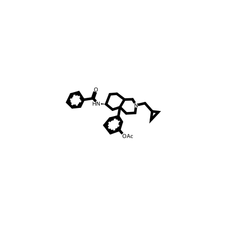 CC(=O)Oc1cccc(C23CCN(CC4CC4)CC2CC[C@@H](NC(=O)c2ccccc2)C3)c1